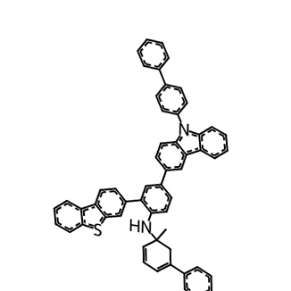 CC1(Nc2ccc(-c3ccc4c(c3)c3ccccc3n4-c3ccc(-c4ccccc4)cc3)cc2-c2ccc3c(c2)sc2ccccc23)C=CC=C(c2ccccc2)C1